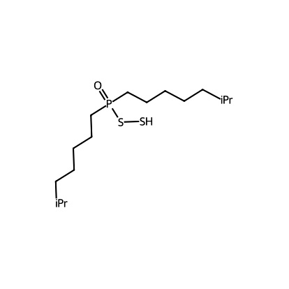 CC(C)CCCCCP(=O)(CCCCCC(C)C)SS